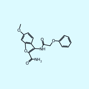 COc1ccc2c(NC(=O)COc3ccccc3)c(C(N)=O)oc2c1